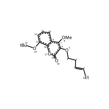 CCC=CCCOc1c(OC)c2cccc(OC(C)(C)C)c2oc1=O